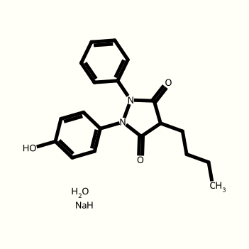 CCCCC1C(=O)N(c2ccccc2)N(c2ccc(O)cc2)C1=O.O.[NaH]